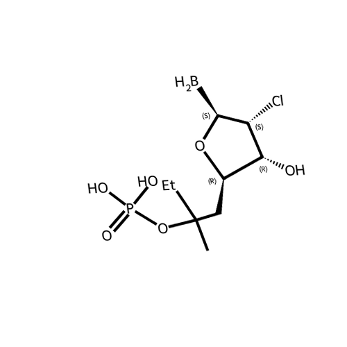 B[C@@H]1O[C@H](CC(C)(CC)OP(=O)(O)O)[C@@H](O)[C@H]1Cl